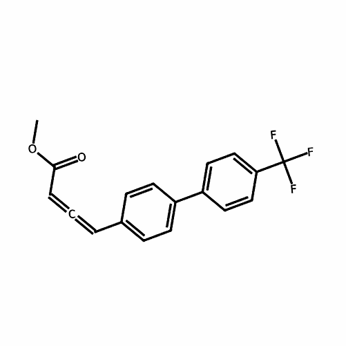 COC(=O)C=C=Cc1ccc(-c2ccc(C(F)(F)F)cc2)cc1